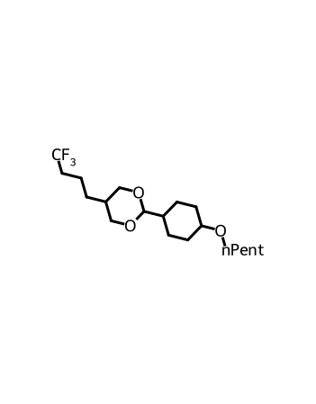 CCCCCOC1CCC(C2OCC(CCCC(F)(F)F)CO2)CC1